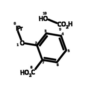 CC(C)Oc1ccccc1C(=O)O.O=C(O)O